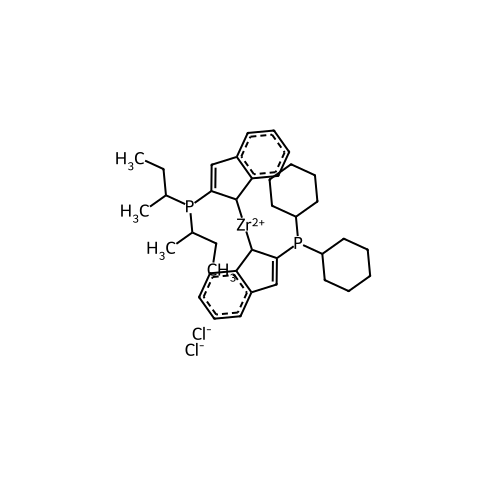 CCC(C)P(C1=Cc2ccccc2[CH]1[Zr+2][CH]1C(P(C2CCCCC2)C2CCCCC2)=Cc2ccccc21)C(C)CC.[Cl-].[Cl-]